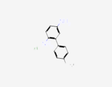 COc1ccc(-c2cc(N)ccc2N)cc1.Cl.Cl